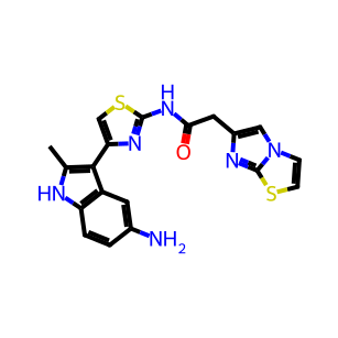 Cc1[nH]c2ccc(N)cc2c1-c1csc(NC(=O)Cc2cn3ccsc3n2)n1